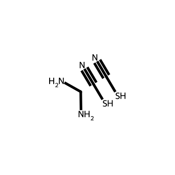 N#CS.N#CS.NCN